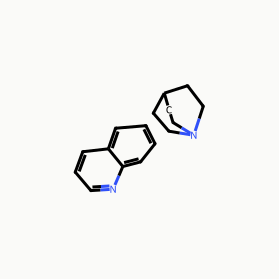 C1CN2CCC1CC2.c1ccc2ncccc2c1